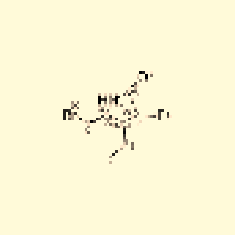 CC[C@@H]1[C@H](F)C(=O)N[C@@H]1CBr